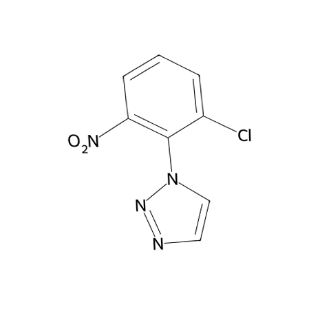 O=[N+]([O-])c1cccc(Cl)c1-n1ccnn1